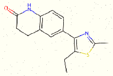 CCc1sc(C)nc1-c1ccc2c(c1)CCC(=O)N2